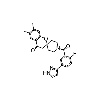 Cc1cc2c(cc1C)C(=O)CC1(CCN(C(=O)c3cc(-c4cc[nH]n4)ccc3F)CC1)O2